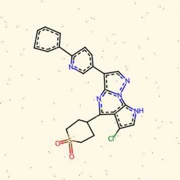 O=S1(=O)CCC(c2nc3c(-c4ccc(-c5ccccc5)nc4)cnn3c3[nH]cc(Cl)c23)CC1